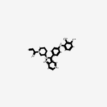 C=CC(=O)N1CCCC(n2nc3ccncc3c2-c2ccc(Oc3cccc(F)c3Cl)cc2)C1